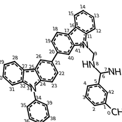 Cc1cccc(C(N)NCn2c3ccccc3c3ccc(-c4ccc5c(c4)c4ccccc4n5-c4ccccc4)cc32)c1